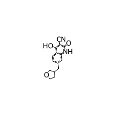 N#Cc1c(O)c2ccc(CC3CCOC3)cc2[nH]c1=O